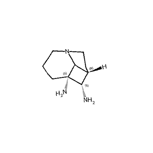 N[C@H]1[C@H]2CN3CCC[C@@]1(N)C23